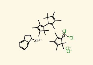 CC1=C(C)C(C)(C)C(C2=C(C)C(C)=C(C)C2(C)C)=C1C.CC1=C(C)C(C)(C)[C]([Zr]([Cl])[Cl])=C1C.[Cl-].[Cl-].[Zr+2][CH]1C=Cc2ccccc21